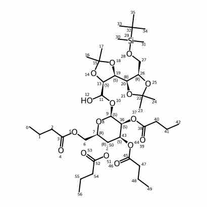 CCCC(=O)OC[C@H]1O[C@@H](OC(O)[C@H]2OC(C)(C)O[C@H]2[C@@H]2OC(C)(C)O[C@@H]2CO[Si](C)(C)C(C)(C)C)[C@@H](OC(=O)CCC)[C@@H](OC(=O)CCC)[C@@H]1OC(=O)CCC